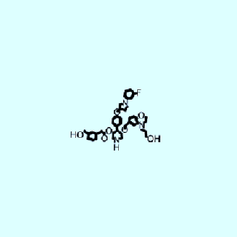 O=C(Cc1cccc(CO)c1)OC1CNCC(OCc2ccc3c(c2)N(CCCO)CCO3)C1c1ccc(OC2CCN(c3cccc(F)c3)C2)cc1